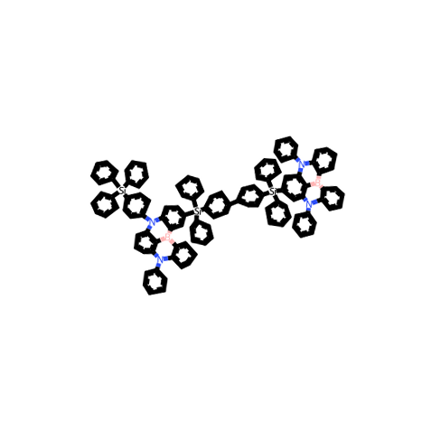 c1ccc(N2c3ccccc3B3c4cc([Si](c5ccccc5)(c5ccccc5)c5ccc(-c6ccc([Si](c7ccccc7)(c7ccccc7)c7cc8c9c(c7)N(c7ccccc7)c7ccccc7B9c7ccccc7N8c7ccccc7)cc6)cc5)ccc4N(c4ccc([Si](c5ccccc5)(c5ccccc5)c5ccccc5)cc4)c4cccc2c43)cc1